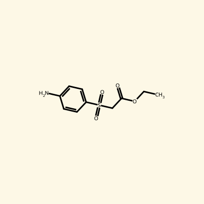 CCOC(=O)CS(=O)(=O)c1ccc(N)cc1